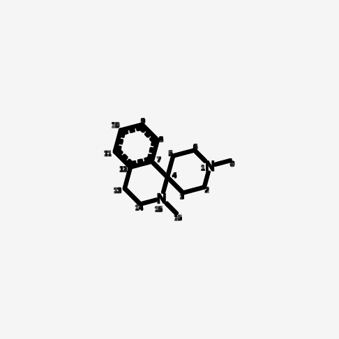 CN1CCC2(CC1)c1ccccc1CCN2C